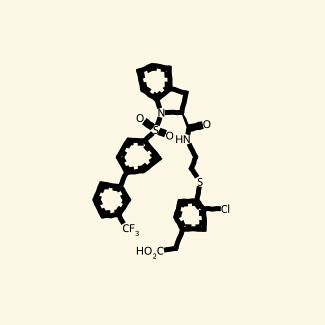 O=C(O)Cc1ccc(SCCNC(=O)[C@@H]2Cc3ccccc3N2S(=O)(=O)c2ccc(-c3cccc(C(F)(F)F)c3)cc2)c(Cl)c1